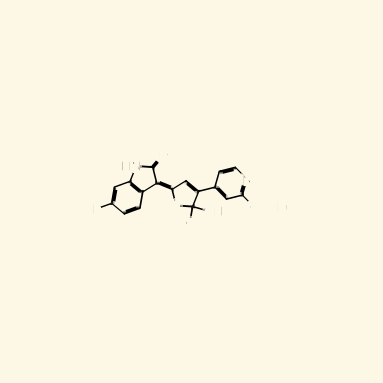 CCOC(=O)c1cc(C2=C/C(=C3\C(=O)Nc4cc(F)ccc43)OC2(C)C)ccn1